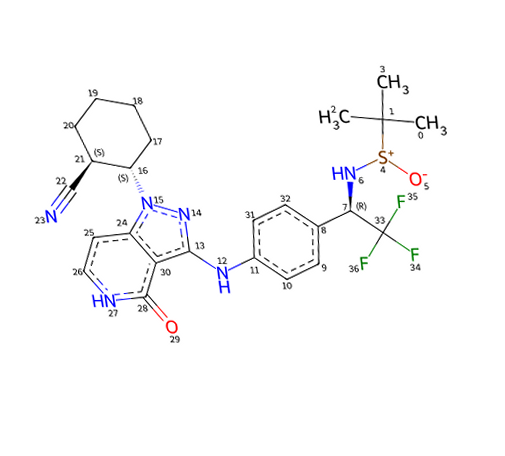 CC(C)(C)[S+]([O-])N[C@H](c1ccc(Nc2nn([C@H]3CCCC[C@@H]3C#N)c3cc[nH]c(=O)c23)cc1)C(F)(F)F